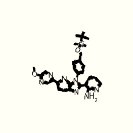 COc1cnc(-c2ccc3nc(-c4cccnc4N)n(-c4ccc(CO[Si](C)(C)C(C)(C)C)cc4)c3n2)cn1